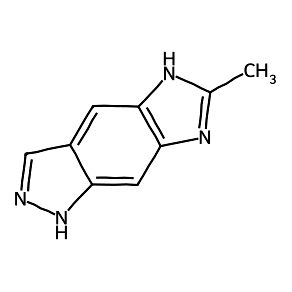 Cc1nc2cc3[nH]ncc3cc2[nH]1